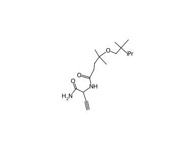 C#CC(NC(=O)CCC(C)(C)OCC(C)(C)C(C)C)C(N)=O